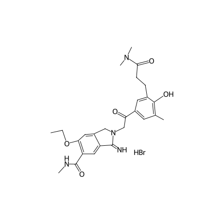 Br.CCOc1cc2c(cc1C(=O)NC)C(=N)N(CC(=O)c1cc(C)c(O)c(CCC(=O)N(C)C)c1)C2